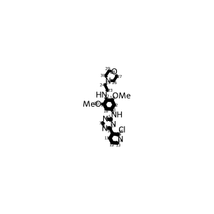 COc1cc(Nc2ncnc(-c3cccnc3Cl)n2)cc(OC)c1NCCN1CCOCC1